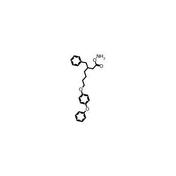 NOC(=O)CC(CCCCOc1ccc(Oc2ccccc2)cc1)Cc1ccccc1